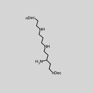 CCCCCCCCCCCCNCCCNCCC(N)CCCCCCCCCCCC